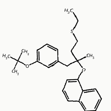 CCSCCC(C)(Cc1cccc(OC(C)(C)C)c1)Oc1cccc2ccccc12